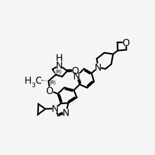 C[C@@H](Oc1cc(-c2ccc(N3CCC(C4COC4)CC3)cn2)cc2ncn(C3CC3)c12)[C@H]1CNC(=O)C1